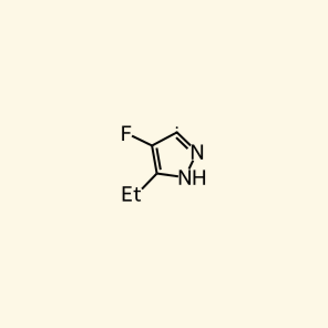 CCc1[nH]n[c]c1F